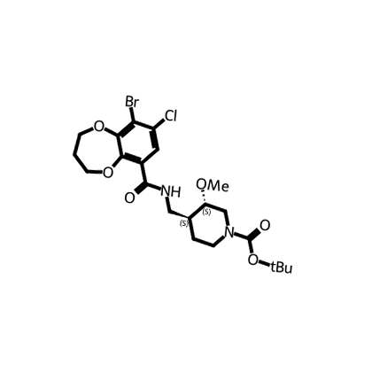 CO[C@@H]1CN(C(=O)OC(C)(C)C)CC[C@H]1CNC(=O)c1cc(Cl)c(Br)c2c1OCCCO2